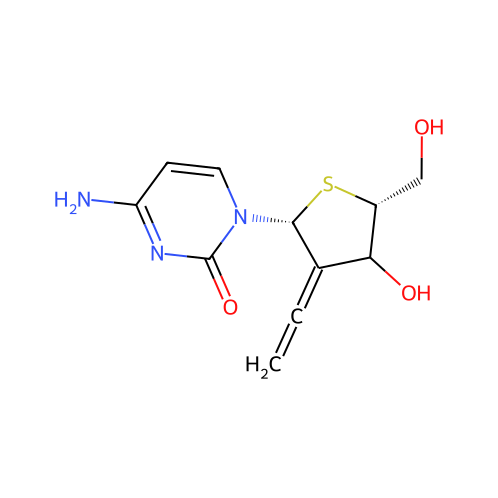 C=C=C1C(O)[C@@H](CO)S[C@H]1n1ccc(N)nc1=O